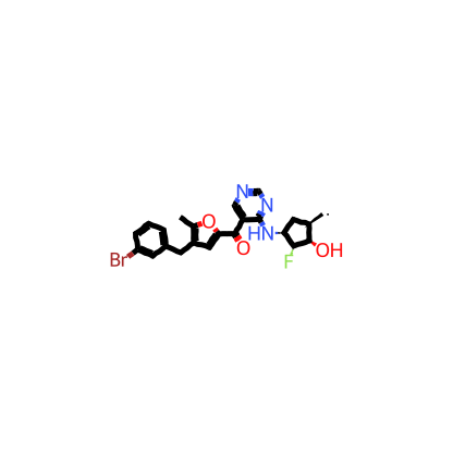 [CH2][C@@H]1C[C@@H](Nc2ncncc2C(=O)c2cc(Cc3cccc(Br)c3)c(C)o2)[C@@H](F)[C@@H]1O